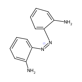 Nc1ccccc1/N=N\c1ccccc1N